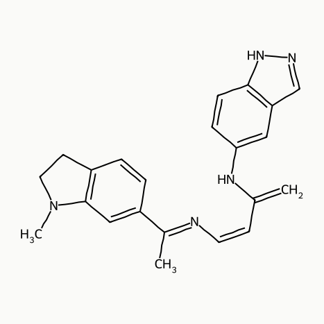 C=C(/C=C\N=C(/C)c1ccc2c(c1)N(C)CC2)Nc1ccc2[nH]ncc2c1